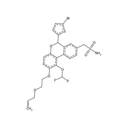 C=CCOCCOc1ccc2c(c1OC(F)F)-c1ccc(CS(N)(=O)=O)cc1C(c1ccc(Br)s1)O2